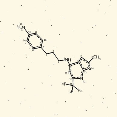 Cc1cc2c(NCCCc3ccc(N)cc3)nc(C(F)(F)F)nc2s1